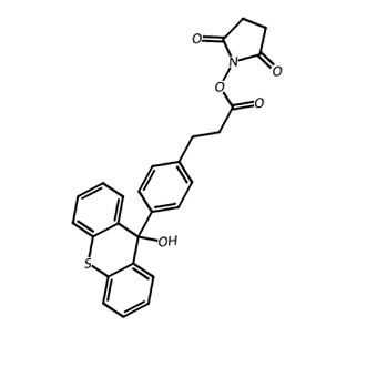 O=C(CCc1ccc(C2(O)c3ccccc3Sc3ccccc32)cc1)ON1C(=O)CCC1=O